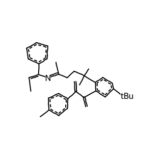 C=C(C(=C)c1cc(C(C)(C)C)ccc1C(C)(C)CC/C(C)=N/C(=C\C)c1ccccc1)c1ccc(C)cc1